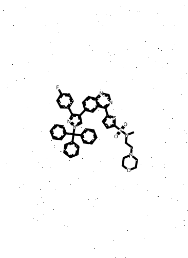 CN(CCN1CCOCC1)S(=O)(=O)c1ccc(-c2ncnc3ccc(-c4cn(C(c5ccccc5)(c5ccccc5)c5ccccc5)nc4-c4ccc(F)cc4)cc23)s1